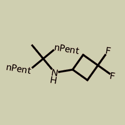 CCCCCC(C)(CCCCC)NC1CC(F)(F)C1